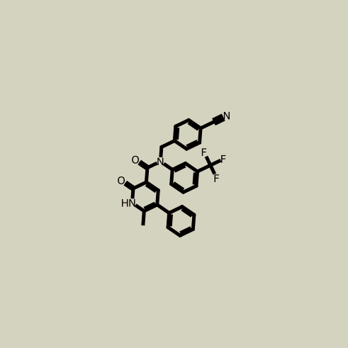 Cc1[nH]c(=O)c(C(=O)N(Cc2ccc(C#N)cc2)c2cccc(C(F)(F)F)c2)cc1-c1ccccc1